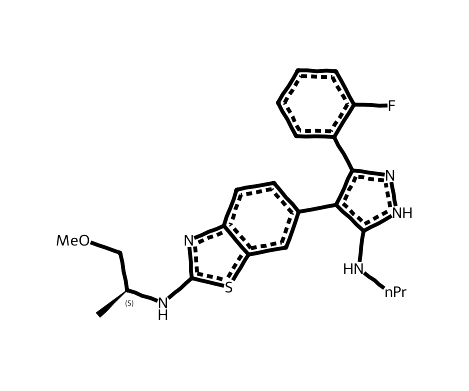 CCCNc1[nH]nc(-c2ccccc2F)c1-c1ccc2nc(N[C@@H](C)COC)sc2c1